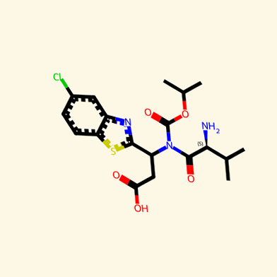 CC(C)OC(=O)N(C(=O)[C@@H](N)C(C)C)C(CC(=O)O)c1nc2cc(Cl)ccc2s1